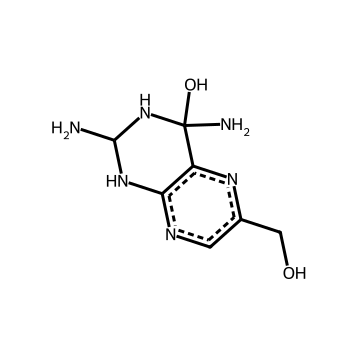 NC1Nc2ncc(CO)nc2C(N)(O)N1